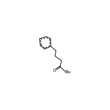 CCC(C)C(=O)CCCc1ccccc1